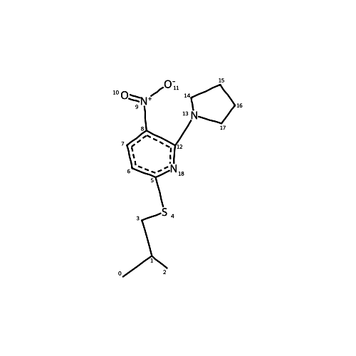 CC(C)CSc1ccc([N+](=O)[O-])c(N2CCCC2)n1